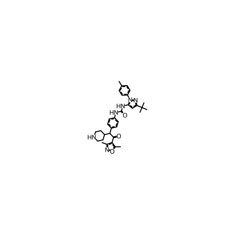 Cc1ccc(-n2nc(C(C)(C)C)cc2NC(=O)Nc2ccc(C(C(=O)c3c(C)noc3C)C3CCNCC3)cc2)cc1